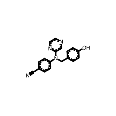 N#Cc1ccc(N(Cc2ccc(O)cc2)c2cnccn2)cc1